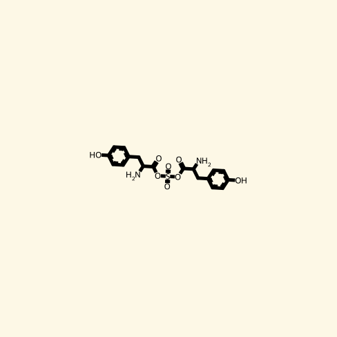 NC(Cc1ccc(O)cc1)C(=O)OS(=O)(=O)OC(=O)C(N)Cc1ccc(O)cc1